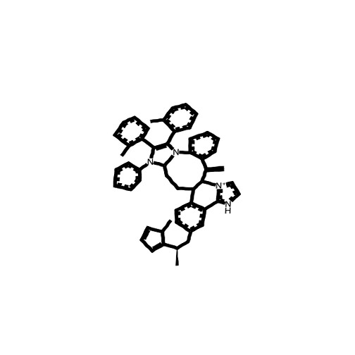 C=C1c2ccccc2N2C(c3ccccc3C)=C(c3ccccc3C)N(c3ccccc3)C2CCC2c3ccc(C[C@@H](C)C4=CC=CC4C)cc3-c3[nH]cc[n+]3C12